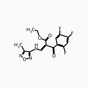 CCOC(=O)C(=CNc1nonc1C)C(=O)c1cc(F)c(F)cc1F